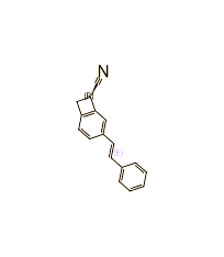 N#C[C@@H]1Cc2ccc(/C=C/c3ccccc3)cc21